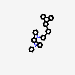 c1ccc(-n2c3ccccc3c3c2ccc2c4ccccc4n(-c4cccc(-c5cccc(-c6ccc7c8ccccc8c8ccccc8c7c6)c5)c4)c23)cc1